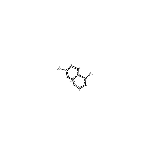 CC(=O)c1ccc2c(C(C)=O)cccc2c1